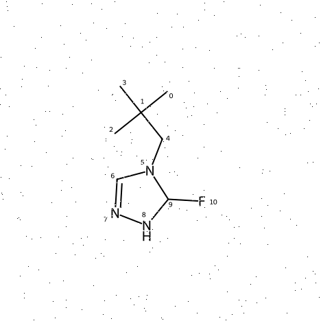 CC(C)(C)CN1C=NNC1F